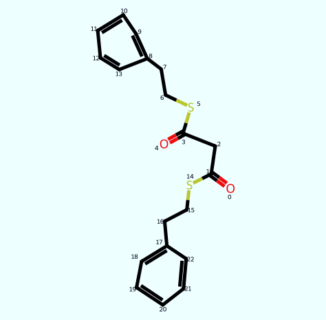 O=C(CC(=O)SCCc1ccccc1)SCCc1ccccc1